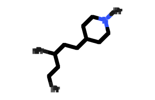 CCCC(CCC(C)C)CCC1CCN(C(C)C)CC1